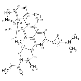 C=CC(=O)N1C[C@H](C)N(c2nc(N3CC(N(C)C)C3)nc3c(F)c(-c4c(C)ccc5[nH]ncc45)c(C(F)(F)F)cc23)C[C@H]1C